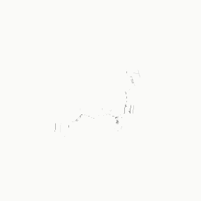 C=CCNC(=O)SCC=C